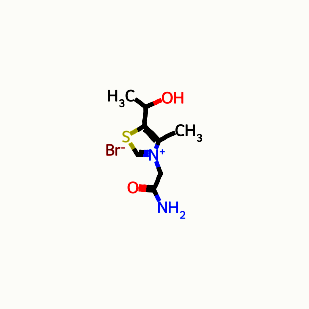 Cc1c(C(C)O)sc[n+]1CC(N)=O.[Br-]